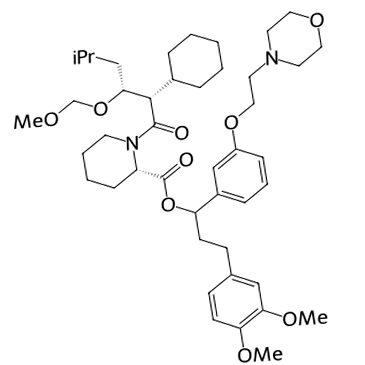 COCO[C@H](CC(C)C)[C@@H](C(=O)N1CCCC[C@H]1C(=O)OC(CCc1ccc(OC)c(OC)c1)c1cccc(OCCN2CCOCC2)c1)C1CCCCC1